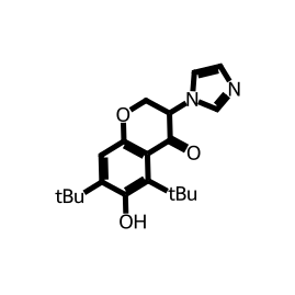 CC(C)(C)c1cc2c(c(C(C)(C)C)c1O)C(=O)C(n1ccnc1)CO2